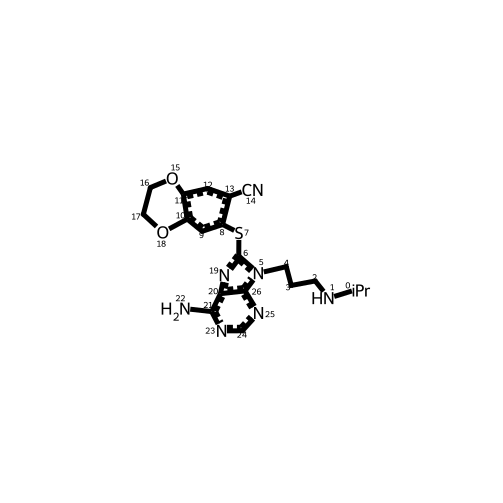 CC(C)NCCCn1c(Sc2cc3c(cc2C#N)OCCO3)nc2c(N)ncnc21